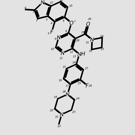 Cc1cc2c(F)c(Oc3ncnc(Nc4ccc(N5CCN(C)CC5)c(F)c4)c3C(=O)N3CCC3)ccc2[nH]1